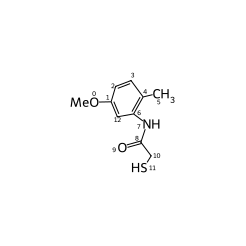 COc1ccc(C)c(NC(=O)CS)c1